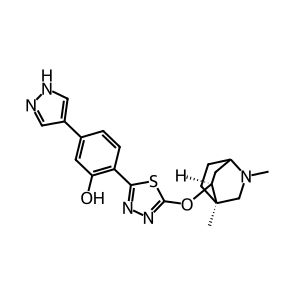 CN1C[C@@]2(C)CCC1C[C@@H]2Oc1nnc(-c2ccc(-c3cn[nH]c3)cc2O)s1